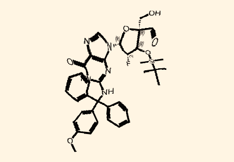 COc1ccc(C(Nc2nc3c(ncn3[C@@H]3O[C@](C=O)(CO)[C@@H](O[Si](C)(C)C(C)(C)C)[C@@H]3F)c(=O)[nH]2)(c2ccccc2)c2ccccc2)cc1